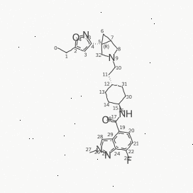 CCc1cc([C@]23CC2CN(CC[C@H]2CC[C@H](NC(=O)c4ccc(F)c5nn(C)cc45)CC2)C3)no1